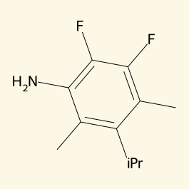 Cc1c(N)c(F)c(F)c(C)c1C(C)C